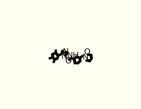 Cc1cc(C)c(-c2cnc(NC(=O)c3cccc(Cn4ccccc4=O)c3)n2C)cc1C